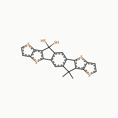 CC1(C)c2cc3c(cc2-c2sc4ccsc4c21)C(S)(S)c1c-3sc2ccsc12